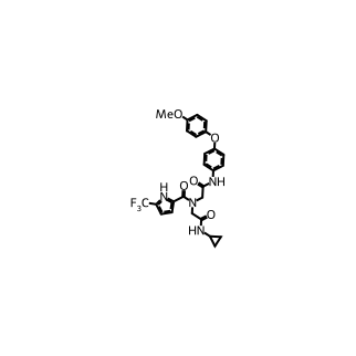 COc1ccc(Oc2ccc(NC(=O)CN(CC(=O)NC3CC3)C(=O)c3ccc(C(F)(F)F)[nH]3)cc2)cc1